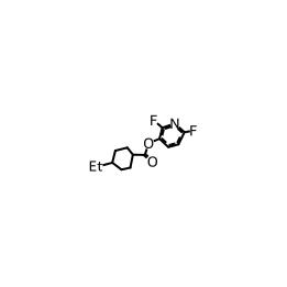 CCC1CCC(C(=O)Oc2ccc(F)nc2F)CC1